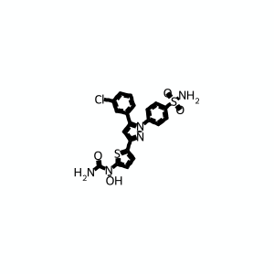 NC(=O)N(O)c1ccc(-c2cc(-c3cccc(Cl)c3)n(-c3ccc(S(N)(=O)=O)cc3)n2)s1